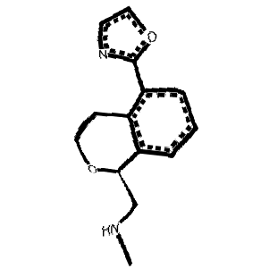 CNC[C@H]1OCCc2c(-c3ncco3)cccc21